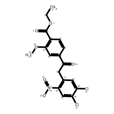 CCOC(=O)c1ccc(C(=O)Cc2cc(Cl)c(Cl)cc2[N+](=O)[O-])cc1OC